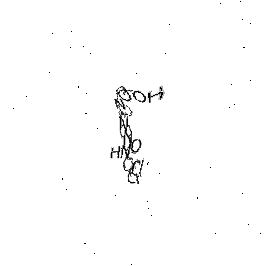 O=C(Nc1ccc(Cl)c(Cl)c1)N1CCN(C[C@@H]2CCCN(Cc3ccc(CO)o3)C2)CC1